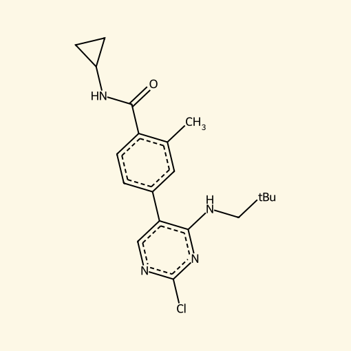 Cc1cc(-c2cnc(Cl)nc2NCC(C)(C)C)ccc1C(=O)NC1CC1